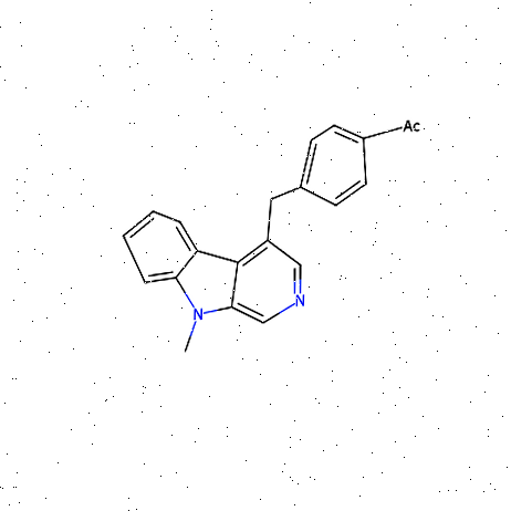 CC(=O)c1ccc(Cc2cncc3c2c2ccccc2n3C)cc1